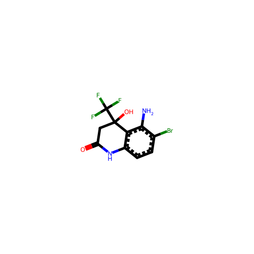 Nc1c(Br)ccc2c1C(O)(C(F)(F)F)CC(=O)N2